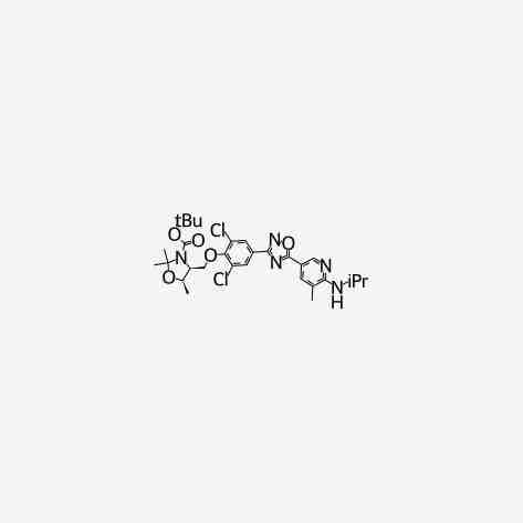 Cc1cc(-c2nc(-c3cc(Cl)c(OC[C@H]4[C@@H](C)OC(C)(C)N4C(=O)OC(C)(C)C)c(Cl)c3)no2)cnc1NC(C)C